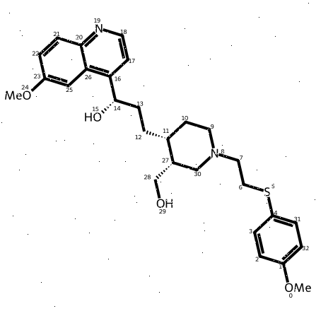 COc1ccc(SCCN2CC[C@@H](CC[C@H](O)c3ccnc4ccc(OC)cc34)[C@@H](CO)C2)cc1